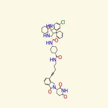 CC1([C@H]2[C@H](C(=O)N[C@H]3CC[C@H](C(=O)NCCCC#Cc4cccc5c4CN(C4CCC(=O)NC4=O)C5=O)CC3)NC3(CCCCC3)[C@@]23C(=O)Nc2cc(Cl)ccc23)C=CC=CC1